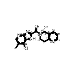 Cc1cnc2nc(C(=O)N3CCc4ncccc4[C@H]3C)[nH]c2c1Cl